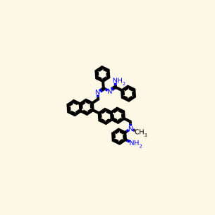 CN(Cc1ccc2cc(-c3cc4ccccc4cc3C/N=C(\N=C(/N)c3ccccc3)c3ccccc3)ccc2c1)c1ccccc1N